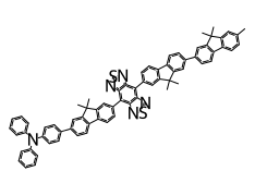 Cc1ccc2c(c1)C(C)(C)c1cc(-c3ccc4c(c3)C(C)(C)c3cc(-c5c6c(c(-c7ccc8c(c7)C(C)(C)c7cc(-c9ccc(N(c%10ccccc%10)c%10ccccc%10)cc9)ccc7-8)c7nsnc57)N=S=N6)ccc3-4)ccc1-2